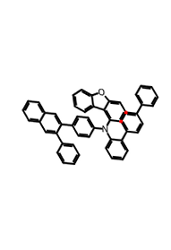 c1ccc(-c2ccc(-c3ccccc3N(c3ccc(-c4cc5ccccc5cc4-c4ccccc4)cc3)c3cccc4oc5ccccc5c34)cc2)cc1